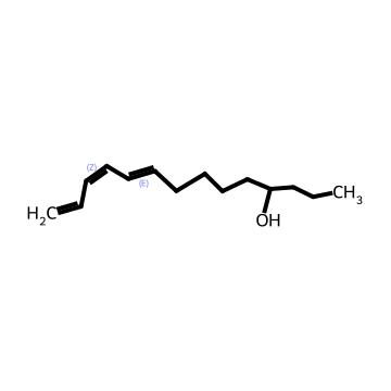 C=C/C=C\C=C\CCCCC(O)CCC